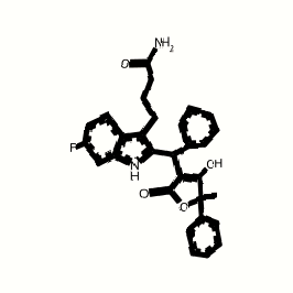 CC1(c2ccccc2)OC(=O)C(C(c2ccccc2)c2[nH]c3cc(F)ccc3c2CCCC(N)=O)=C1O